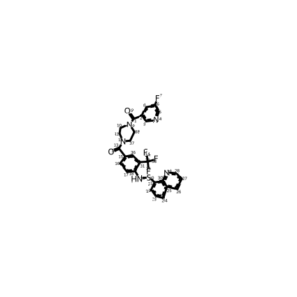 O=C(c1cncc(F)c1)N1CCN(C(=O)c2ccc(NSc3cccc4cccnc34)c(C(F)(F)F)c2)CC1